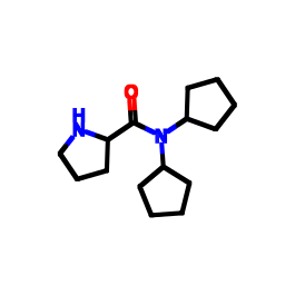 O=C(C1CCCN1)N(C1CCCC1)C1CCCC1